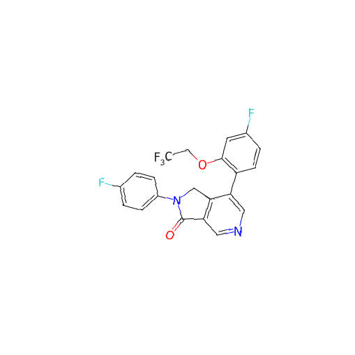 O=C1c2cncc(-c3ccc(F)cc3OCC(F)(F)F)c2CN1c1ccc(F)cc1